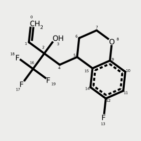 C=CC(O)(CC1CCOc2ccc(F)cc21)C(F)(F)F